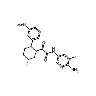 CNc1cccc([C@@H]2CC[C@@H](C)CN2C(=O)C(=O)Nc2cnc(N)c(C)c2)c1